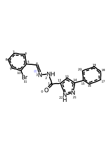 O=C(N/N=C/c1ccccc1Br)c1cc(-c2ccccc2)n[nH]1